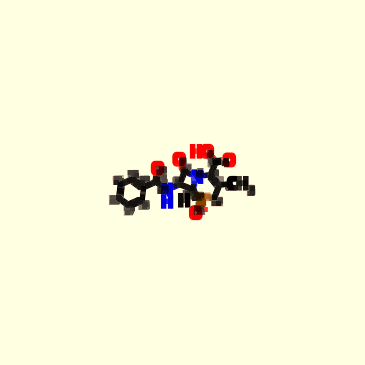 CC1=C(C(=O)O)N2C(=O)C(NC(=O)c3ccccc3)[C@@H]2[S+]([O-])C1